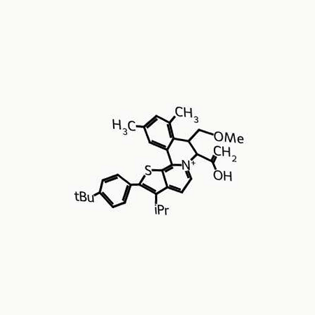 C=C(O)C1C(COC)c2c(C)cc(C)cc2-c2c3sc(-c4ccc(C(C)(C)C)cc4)c(C(C)C)c3cc[n+]21